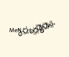 CNC(=O)c1ccc(COc2ccc3c(c2)CCN(C2CCN(C4CCC4)CC2)C3=O)cc1